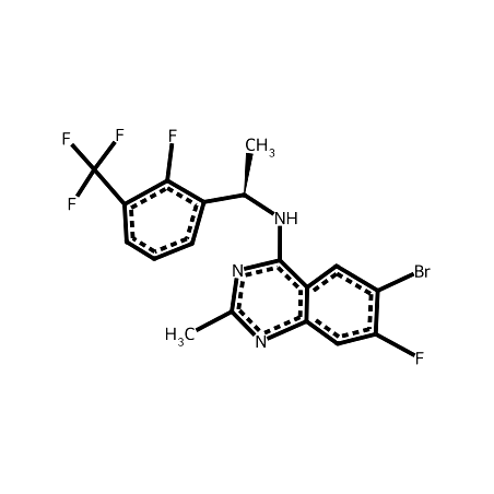 Cc1nc(N[C@H](C)c2cccc(C(F)(F)F)c2F)c2cc(Br)c(F)cc2n1